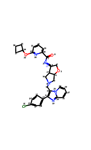 O=C(/N=C1\COC2CN(Cc3c(-c4ccc(Cl)cc4)nc4ccccn34)CC12)c1cccc(OC2CCC2)n1